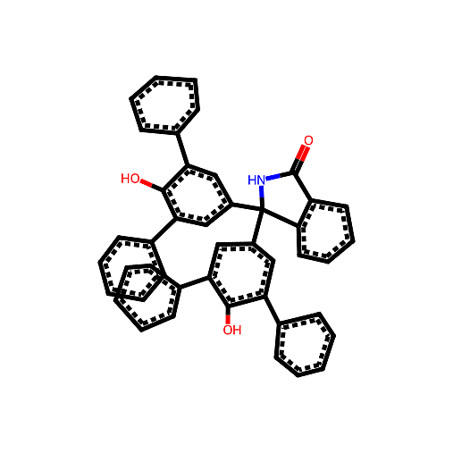 O=C1NC(c2cc(-c3ccccc3)c(O)c(-c3ccccc3)c2)(c2cc(-c3ccccc3)c(O)c(-c3ccccc3)c2)c2ccccc21